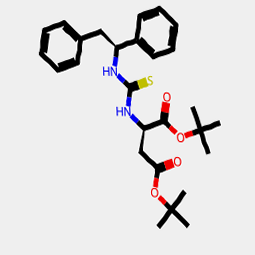 CC(C)(C)OC(=O)C[C@@H](NC(=S)N[C@@H](Cc1ccccc1)c1ccccc1)C(=O)OC(C)(C)C